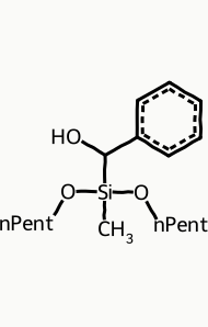 CCCCCO[Si](C)(OCCCCC)C(O)c1ccccc1